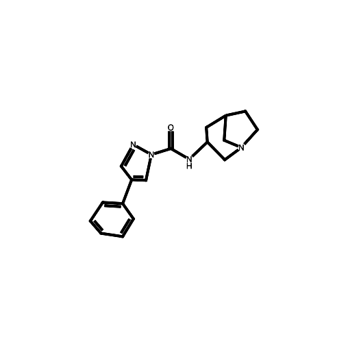 O=C(NC1CC2CCN(C2)C1)n1cc(-c2ccccc2)cn1